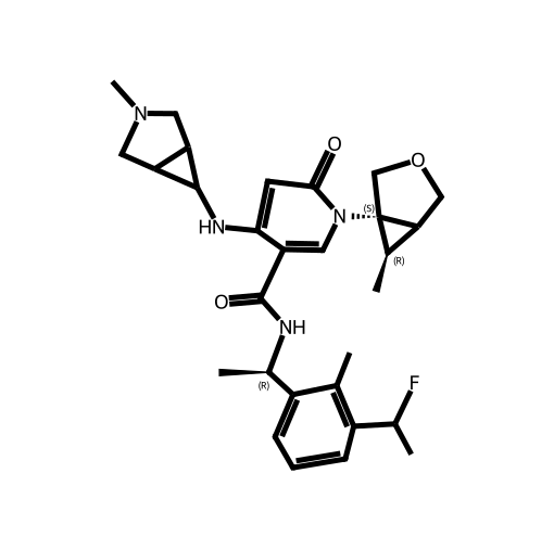 Cc1c(C(C)F)cccc1[C@@H](C)NC(=O)c1cn([C@]23COCC2[C@H]3C)c(=O)cc1NC1C2CN(C)CC21